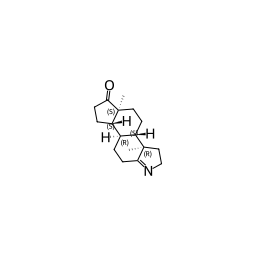 C[C@]12CCN=C1CC[C@@H]1[C@@H]2CC[C@]2(C)C(=O)CC[C@@H]12